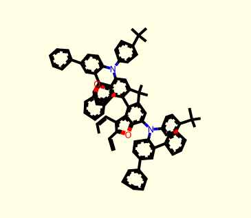 C=Cc1oc2c(N(c3ccc(C(C)(C)C)cc3)c3ccc(-c4ccccc4)cc3-c3ccccc3)cc3c(c2c1/C=C\C)-c1c(cc(N(c2ccc(C(C)(C)C)cc2)c2ccc(-c4ccccc4)cc2-c2ccccc2)c2oc4ccccc4c12)C3(C)C